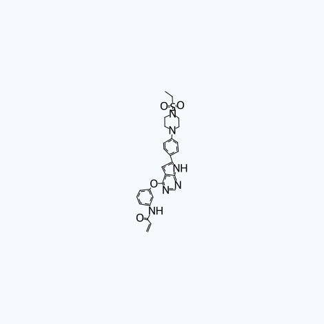 C=CC(=O)Nc1cccc(Oc2ncnc3[nH]c(-c4ccc(N5CCN(S(=O)(=O)CC)CC5)cc4)cc23)c1